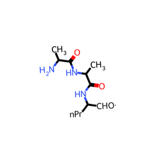 CCCC([C]=O)NC(=O)C(C)NC(=O)C(C)N